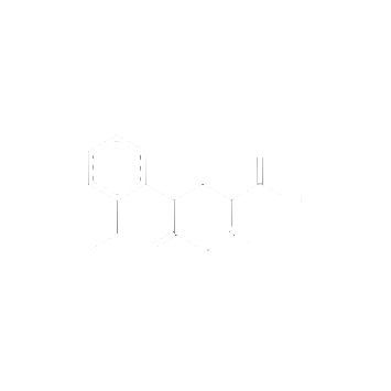 CCc1ccccc1C(CC(N)C(=O)O)C(=O)O